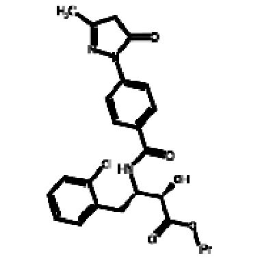 CC1=NN(c2ccc(C(=O)N[C@H](Cc3ccccc3Cl)[C@@H](O)C(=O)OC(C)C)cc2)C(=O)C1